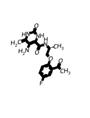 C=C1NC(=O)NC(C(=O)N[C@H](C)COc2ccc(F)cc2C(C)=O)=C1N